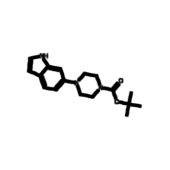 CC(C)(C)OC(=O)N1CCN(c2ccc3cc[nH]c3c2)CC1